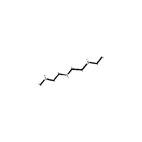 [CH2]CSCCSCCS[CH2]